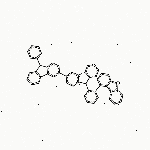 c1ccc(C2c3ccccc3-c3cc(-c4ccc5c(c4)-c4ccccc4C5c4ccccc4-c4cccc5oc6ccccc6c45)ccc32)cc1